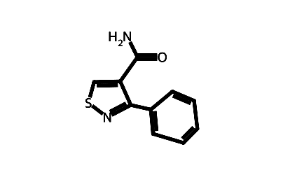 NC(=O)c1csnc1-c1ccccc1